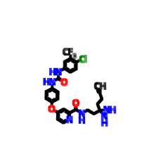 C#CCCC1(CCNC(=O)c2cc(Oc3ccc(NC(=O)Nc4ccc(Cl)c(C(F)(F)F)c4)cc3)ccn2)NN1